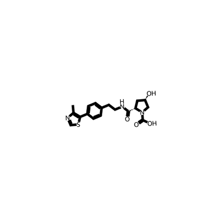 Cc1ncsc1-c1ccc(CCNC(=O)[C@@H]2C[C@H](O)CN2C(=O)O)cc1